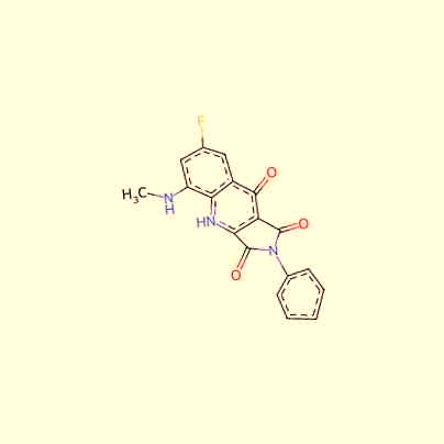 CNc1cc(F)cc2c(=O)c3c([nH]c12)C(=O)N(c1ccccc1)C3=O